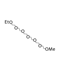 [CH2]COCCOCCOCCOCCOCCOCCOC